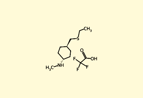 CCSC[C@H]1CC[C@H](NC)CC1.O=C(O)C(F)(F)F